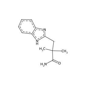 CC(C)([CH]c1nc2ccccc2[nH]1)C(N)=O